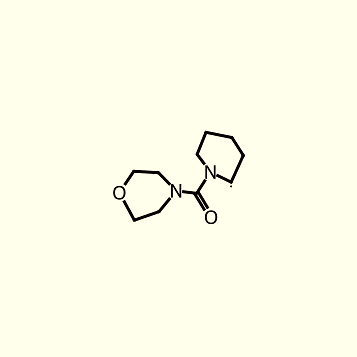 O=C(N1[CH]CCCC1)N1CCOCC1